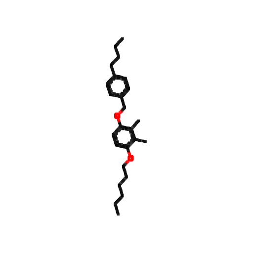 CCCCCCOc1ccc(OCc2ccc(CCCC)cc2)c(C)c1C